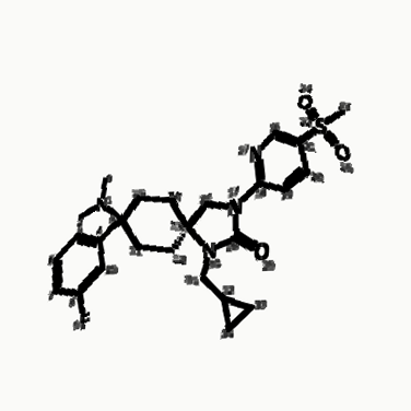 CN(C)[C@]1(c2cccc(F)c2)CC[C@]2(CC1)CN(c1ccc(S(C)(=O)=O)cn1)C(=O)N2CC1CC1